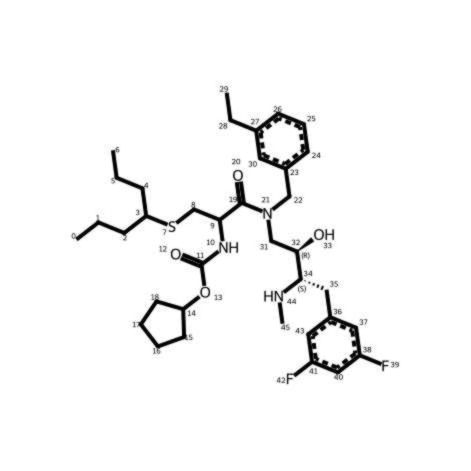 CCCC(CCC)SCC(NC(=O)OC1CCCC1)C(=O)N(Cc1cccc(CC)c1)C[C@@H](O)[C@H](Cc1cc(F)cc(F)c1)NC